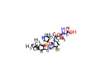 CC(C)(Cc1ccc(Br)c(CN(Cc2ccc(C(C)(C)C)cc2)S(=O)(=O)c2cccnc2)n1)OC(=O)NCC(=O)O